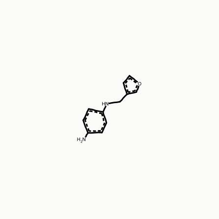 Nc1ccc(NCc2ccoc2)cc1